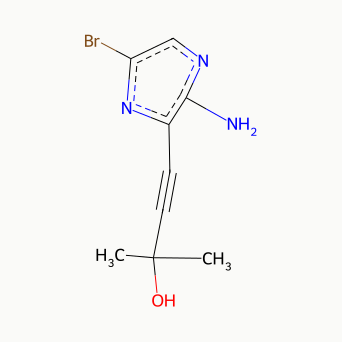 CC(C)(O)C#Cc1nc(Br)cnc1N